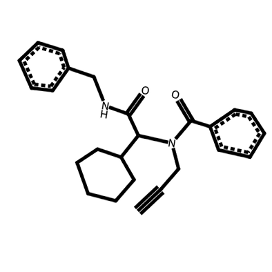 C#CCN(C(=O)c1ccccc1)C(C(=O)NCc1ccccc1)C1CCCCC1